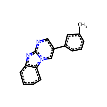 Cc1cccc(-c2cnc3nc4ccccc4n3c2)c1